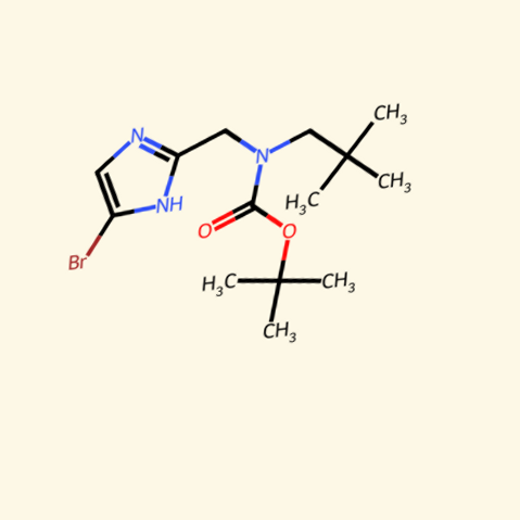 CC(C)(C)CN(Cc1ncc(Br)[nH]1)C(=O)OC(C)(C)C